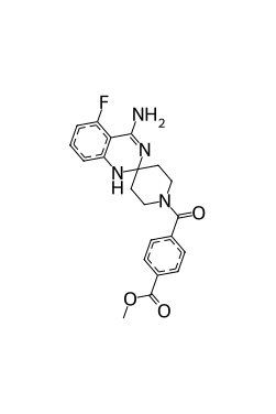 COC(=O)c1ccc(C(=O)N2CCC3(CC2)N=C(N)c2c(F)cccc2N3)cc1